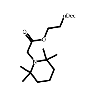 CCCCCCCCCCCCOC(=O)CN1C(C)(C)CCCC1(C)C